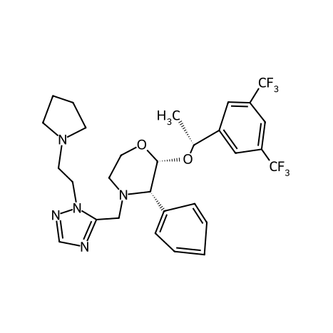 C[C@@H](O[C@H]1OCCN(Cc2ncnn2CCN2CCCC2)[C@H]1c1ccccc1)c1cc(C(F)(F)F)cc(C(F)(F)F)c1